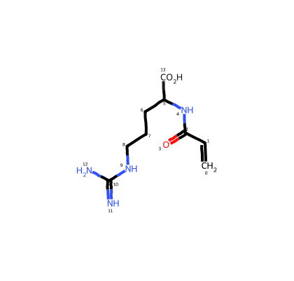 C=CC(=O)NC(CCCNC(=N)N)C(=O)O